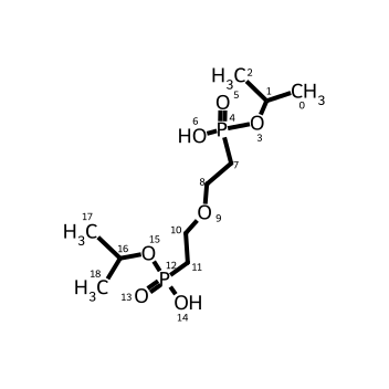 CC(C)OP(=O)(O)CCOCCP(=O)(O)OC(C)C